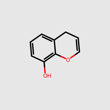 Oc1cccc2c1OC=CC2